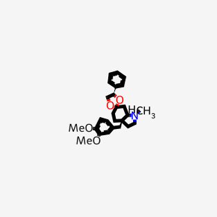 COc1ccc(C[C@]23CCN(C)[C@H]2CC2(CC3)OC[C@H](c3ccccc3)O2)cc1OC